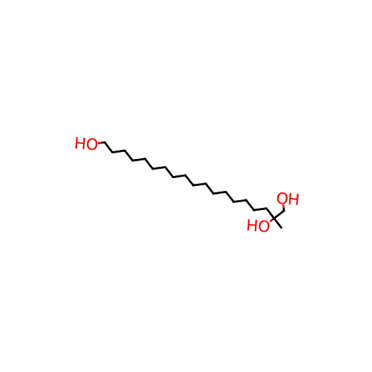 CC(O)(CO)CCCCCCCCCCCCCCCCCO